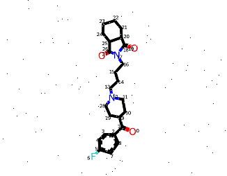 O=C(c1ccc(F)cc1)C1CCN(CCCCN2C(=O)C3CCCCC3C2=O)CC1